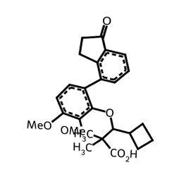 COc1ccc(-c2cccc3c2CCC3=O)c(OC(C2CCC2)C(C)(C)C(=O)O)c1OC